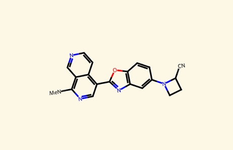 CNc1ncc(-c2nc3cc(N4CCC4C#N)ccc3o2)c2ccncc12